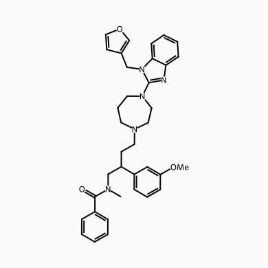 COc1cccc(C(CCN2CCCN(c3nc4ccccc4n3Cc3ccoc3)CC2)CN(C)C(=O)c2ccccc2)c1